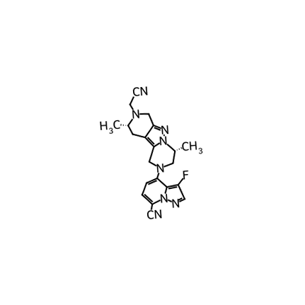 C[C@@H]1CN(c2ccc(C#N)n3ncc(F)c23)Cc2c3c(nn21)CN(CC#N)[C@@H](C)C3